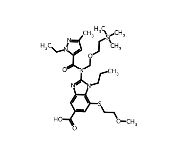 CCCn1c(N(COCC[Si](C)(C)C)C(=O)c2cc(C)nn2CC)nc2cc(C(=O)O)cc(SCCOC)c21